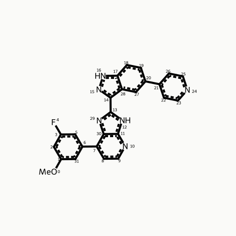 COc1cc(F)cc(-c2ccnc3[nH]c(-c4n[nH]c5ccc(-c6ccncc6)cc45)nc23)c1